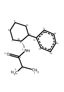 CC(C)C(=O)N[C@@H]1CCCCC1c1ccccc1